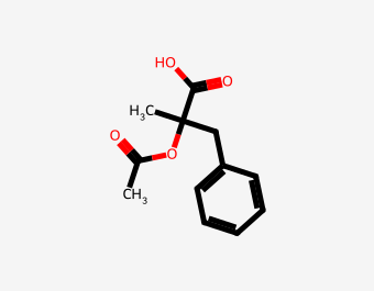 CC(=O)OC(C)(Cc1ccccc1)C(=O)O